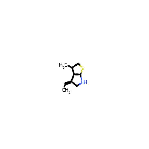 C/C=C1\CNC2SCC(C)C12